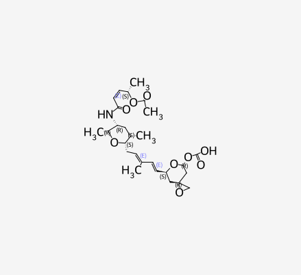 CC(=O)O[C@@H](C)/C=C\C(=O)N[C@@H]1C[C@H](C)[C@H](C/C=C(C)/C=C/[C@@H]2C[C@]3(CO3)C[C@@H](OC(=O)O)O2)O[C@@H]1C